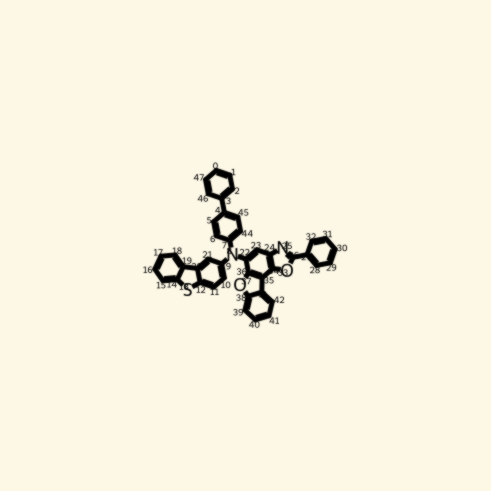 c1ccc(-c2ccc(N(c3ccc4sc5ccccc5c4c3)c3cc4nc(-c5ccccc5)oc4c4c3oc3ccccc34)cc2)cc1